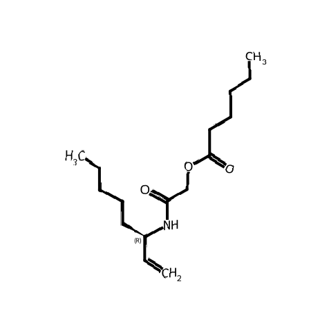 C=C[C@@H](CCCCC)NC(=O)COC(=O)CCCCC